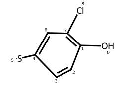 Oc1ccc([S])cc1Cl